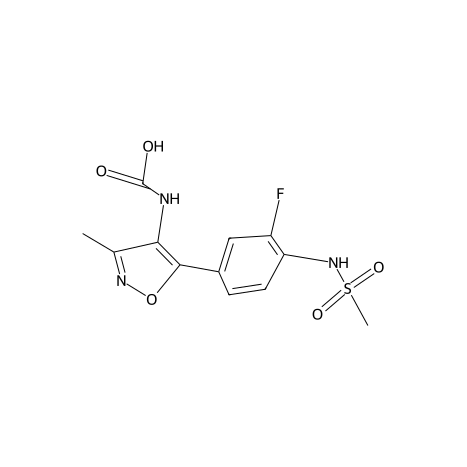 Cc1noc(-c2ccc(NS(C)(=O)=O)c(F)c2)c1NC(=O)O